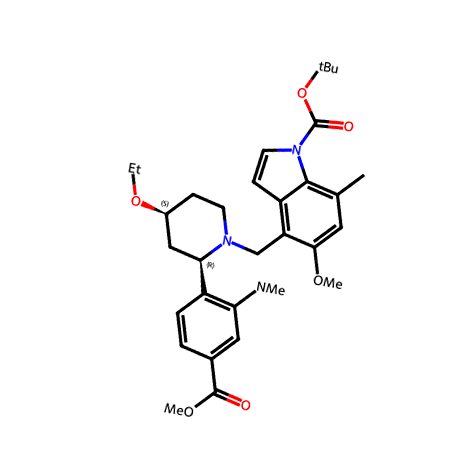 CCO[C@H]1CCN(Cc2c(OC)cc(C)c3c2ccn3C(=O)OC(C)(C)C)[C@@H](c2ccc(C(=O)OC)cc2NC)C1